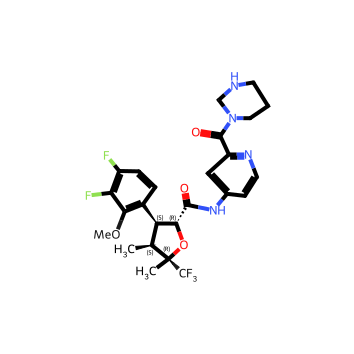 COc1c([C@H]2[C@H](C(=O)Nc3ccnc(C(=O)N4CCCNC4)c3)O[C@@](C)(C(F)(F)F)[C@H]2C)ccc(F)c1F